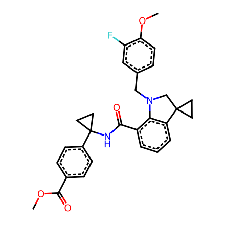 COC(=O)c1ccc(C2(NC(=O)c3cccc4c3N(Cc3ccc(OC)c(F)c3)CC43CC3)CC2)cc1